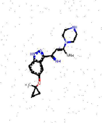 CN/C(=C\C(=N)c1n[nH]c2ccc(OC3(C)CC3)cc12)N1CCNCC1